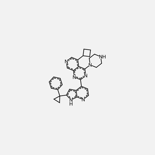 c1ccc(C2(c3cc4c(-c5nc(N6CCNCC6)c6c(C7CCC7)cncc6n5)ccnc4[nH]3)CC2)cc1